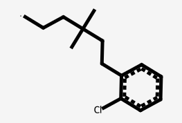 [CH2]CCC(C)(C)CCc1ccccc1Cl